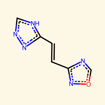 C(=C\c1nnc[nH]1)/c1ncon1